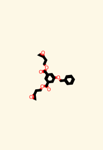 O=C(OCCC1CO1)C1=CC(C(=O)OCCC2CO2)CC(OCc2ccccc2)=C1